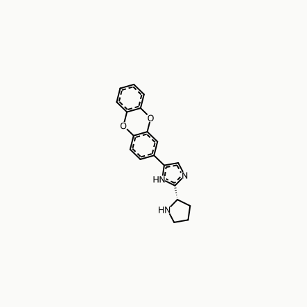 c1ccc2c(c1)Oc1ccc(-c3cnc([C@@H]4CCCN4)[nH]3)cc1O2